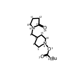 CC(C)(C)C(=O)ON1CCC(CN2CCCC2=O)CC1